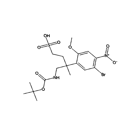 COc1cc([N+](=O)[O-])c(Br)cc1C(C)(CCS(=O)(=O)O)CNC(=O)OC(C)(C)C